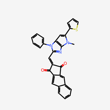 Cn1c(-c2cccs2)cc2c1nc(C=C1C(=O)c3cc4ccccc4cc3C1=O)n2-c1ccccc1